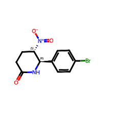 O=C1CC[C@H]([N+](=O)[O-])[C@@H](c2ccc(Br)cc2)N1